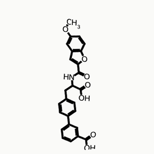 COc1ccc2oc(C(=O)NC(Cc3ccc(-c4cccc(C(=O)O)c4)cc3)C(=O)O)cc2c1